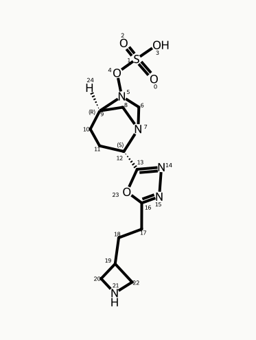 O=S(=O)(O)ON1CN2C[C@H]1CC[C@H]2c1nnc(CCC2CNC2)o1